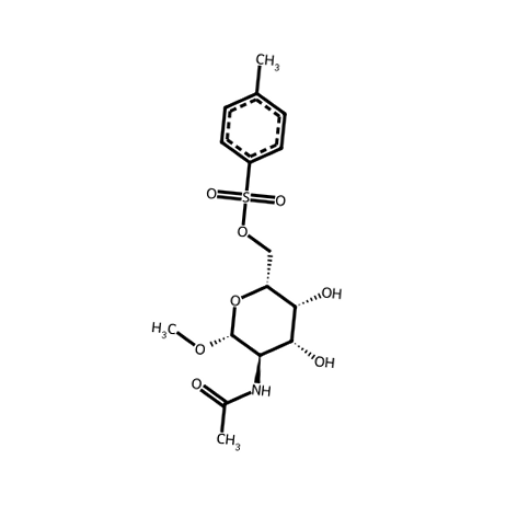 CO[C@@H]1O[C@H](COS(=O)(=O)c2ccc(C)cc2)[C@H](O)[C@H](O)[C@H]1NC(C)=O